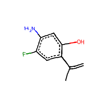 C=C(C)c1cc(F)c(N)cc1O